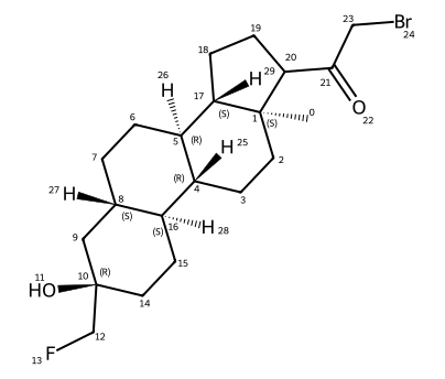 C[C@]12CC[C@H]3[C@@H](CC[C@H]4C[C@@](O)(CF)CC[C@@H]43)[C@@H]1CCC2C(=O)CBr